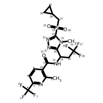 Cc1nc(C(F)(F)F)ccc1C(=O)NC(CC(F)(F)F)c1nnc(S(=O)(=O)CC2CC2)n1C